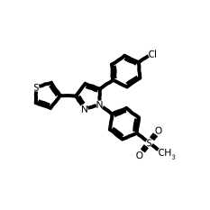 CS(=O)(=O)c1ccc(-n2nc(-c3ccsc3)cc2-c2ccc(Cl)cc2)cc1